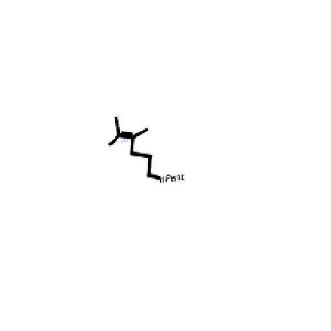 [CH2]/C(C)=C(\C)CCCCCCCC